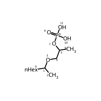 CCCCCCC(C)OCC(C)OP(=O)(O)O